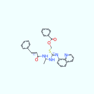 CC(NC(=O)/C=C/c1ccccc1)N/C(=N\c1cccc2cccnc12)SCOC(=O)c1ccccc1